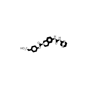 O=C(O)CC1CCC(OC(=O)N2CCc3cc(NC(=O)Nc4cnccn4)ccc3C2)CC1